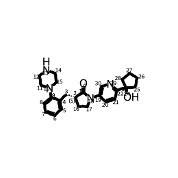 O=C1[C@@H](Cc2ccccc2N2CCNCC2)CCN1c1ccc(C2(O)CCCC2)nc1